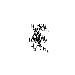 CO[C@H]1[C@H](C(C)(C)OCC=C(C)C)C2(CC[C@H]1OC(=O)NCC(C)(C)O)CO2